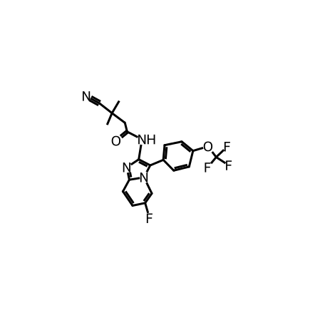 CC(C)(C#N)CC(=O)Nc1nc2ccc(F)cn2c1-c1ccc(OC(F)(F)F)cc1